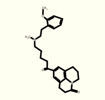 COc1ccccc1CCN(C)CCCCC(=O)c1cc2c3c(c1)CCC(=O)N3CCC2